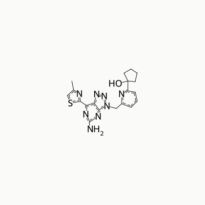 Cc1csc(-c2nc(N)nc3c2nnn3Cc2cccc(C3(O)CCCC3)n2)n1